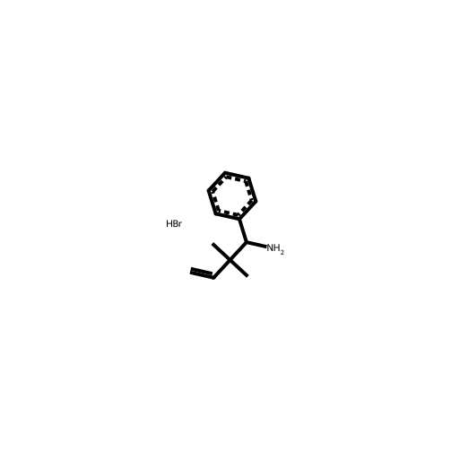 Br.C=CC(C)(C)C(N)c1ccccc1